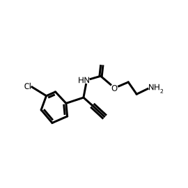 C#CC(NC(=C)OCCN)c1cccc(Cl)c1